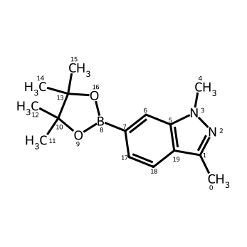 Cc1nn(C)c2cc(B3OC(C)(C)C(C)(C)O3)ccc12